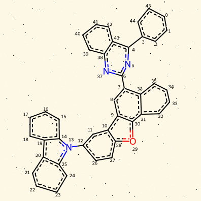 c1ccc(-c2nc(-c3cc4c5cc(-n6c7ccccc7c7ccccc76)ccc5oc4c4ccccc34)nc3ccccc23)cc1